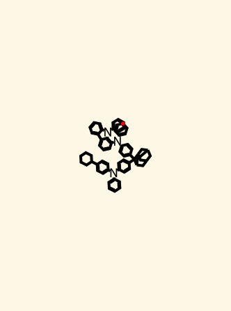 c1ccc(N(c2ccc(C3CCCCC3)cc2)c2ccc(C3(c4ccc(N(c5ccccc5)c5cccc6c7ccccc7n(-c7ccccc7)c56)cc4)C4CC5CC(C4)CC3C5)cc2)cc1